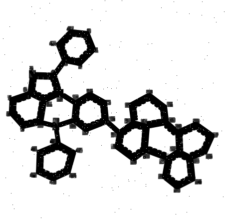 c1ccc(-c2nc3cccc4c3n2-c2ccc(-c3ccc5c6cccc7cccc(c8cccc3c85)c76)cc2N4c2ccccc2)cc1